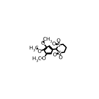 COc1cc(C2S(=O)(=O)CCCS2(=O)=O)cc(OC)c1OC